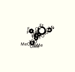 CC[C@H]1CCC[C@H](O[C@H]2CC[C@H](N(C)C)[C@@H](C)O2)[C@@H](C)C(=O)C2=C[C@H]3[C@@H]4C[C@H](O[C@@H]5O[C@@H](C)[C@H](OC)[C@@H](OC)[C@H]5OC)C[C@H]4[C@H]4[C@@H]([C@H]3[C@@H]2CC(=O)O1)N4c1ccc(F)c(F)c1